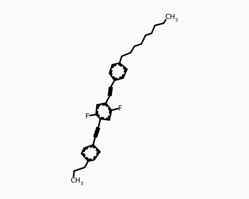 CCCCCCCCCc1ccc(C#Cc2cc(F)c(C#Cc3ccc(CCC)cc3)cc2F)cc1